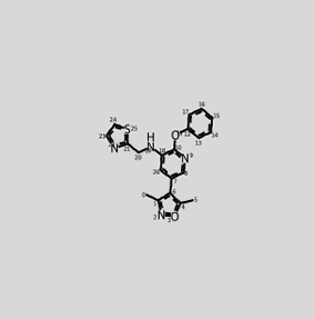 Cc1noc(C)c1-c1cnc(Oc2ccccc2)c(NCc2nccs2)c1